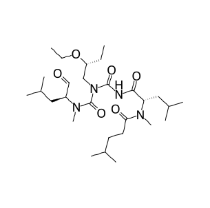 CCO[C@H](CC)CN(C(=O)NC(=O)[C@H](CC(C)C)N(C)C(=O)CCC(C)C)C(=O)N(C)[C@H](C=O)CC(C)C